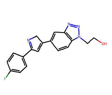 OCCn1nnc2cc(C3=CC(c4ccc(F)cc4)=NC3)ccc21